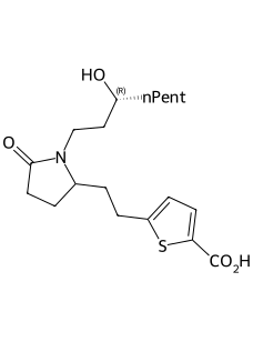 CCCCC[C@@H](O)CCN1C(=O)CCC1CCc1ccc(C(=O)O)s1